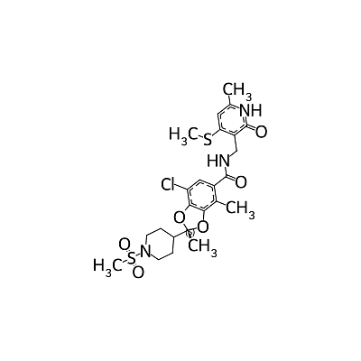 CSc1cc(C)[nH]c(=O)c1CNC(=O)c1cc(Cl)c2c(c1C)O[C@](C)(C1CCN(S(C)(=O)=O)CC1)O2